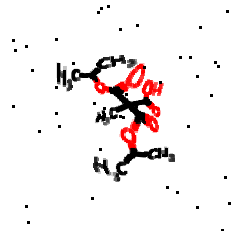 CC(C)OC(=O)C(C)(C(=O)O)C(=O)OC(C)C